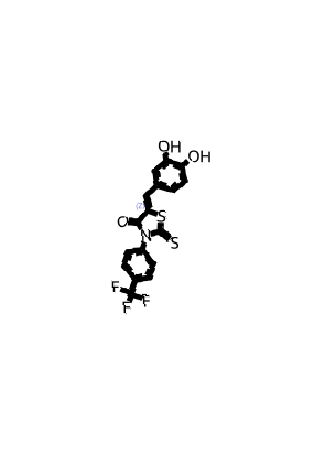 O=C1/C(=C/c2ccc(O)c(O)c2)SC(=S)N1c1ccc(C(F)(F)F)cc1